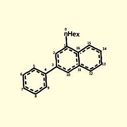 [CH2]CCCCCc1cc(-c2ccccc2)cc2ccccc12